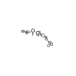 CC(C)(C)[Si](C)(C)OCc1cccc(-c2cnc(N3CCC(=NOCCN4CCOC4=O)CC3)nc2)c1F